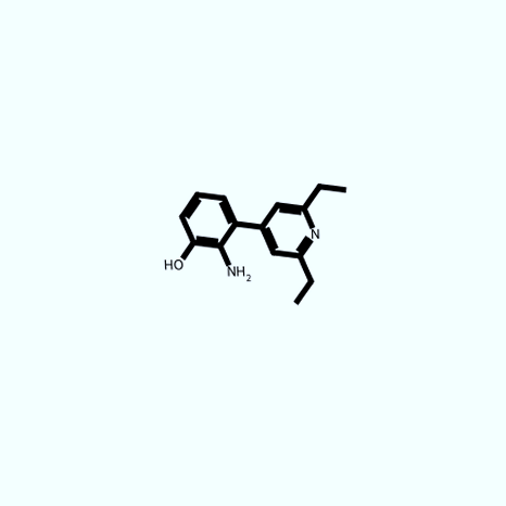 CCc1cc(-c2cccc(O)c2N)cc(CC)n1